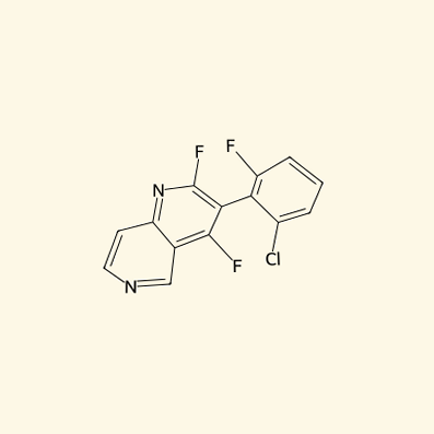 Fc1cccc(Cl)c1-c1c(F)nc2ccncc2c1F